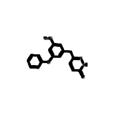 COc1cc(Cc2ccc(=O)[nH]n2)cc(Oc2ccccc2)c1